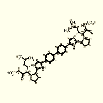 CN(C)CC[C@@H](C(=O)NC(=O)O)N1CCCC1c1ncc(-c2ccc(-c3ccc(-c4cnc(C5CCCN5[C@@H](CCN(C)C)C(=O)NC(=O)O)[nH]4)cc3)cc2)[nH]1